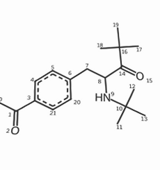 CC(=O)c1ccc(CC(NC(C)(C)C)C(=O)C(C)(C)C)cc1